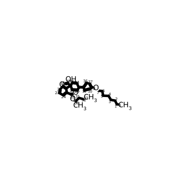 CCCCCCCCOc1ccc(C2C=CC(C(=O)O)(c3ccccc3C(=O)OC(C)CCC)C=C2)cc1